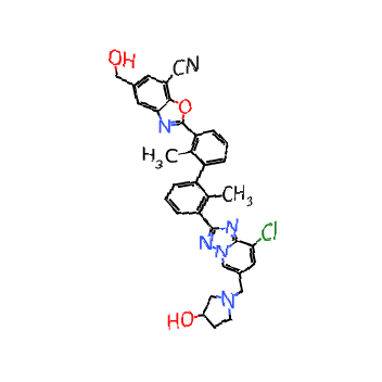 Cc1c(-c2nc3c(Cl)cc(CN4CCC(O)C4)cn3n2)cccc1-c1cccc(-c2nc3cc(CO)cc(C#N)c3o2)c1C